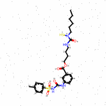 CCCCCCN(S)C(=O)NCCCCOC(=O)c1cccc(NC(=O)NS(=O)(=O)c2ccc(C)cc2)c1